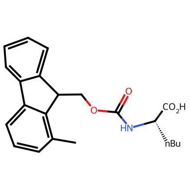 CCCC[C@H](NC(=O)OCC1c2ccccc2-c2cccc(C)c21)C(=O)O